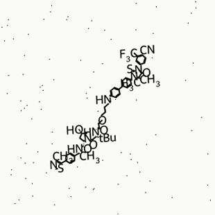 Cc1ncsc1-c1ccc([C@H](C)NC(=O)[C@@H]2C[C@@H](O)CN2C(=O)[C@@H](NC(=O)COCCCCNc2ccc(-c3ccc(N4C(=S)N(c5ccc(C#N)c(C(F)(F)F)c5)C(=O)C4(C)C)cc3)cc2)C(C)(C)C)cc1